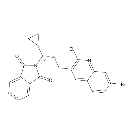 O=C1c2ccccc2C(=O)N1[C@@H](CCc1cc2ccc(Br)cc2nc1Cl)C1CC1